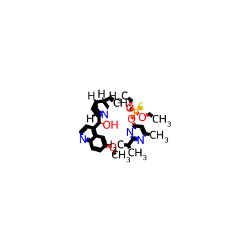 C=C[C@H]1C[N@]2CC[C@H]1C[C@H]2[C@H](O)c1ccnc2ccc(OC)cc12.CCOP(=S)(OCC)Oc1cc(C)nc(C(C)C)n1